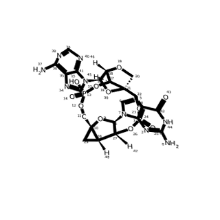 Nc1nc2c(ncn2[C@@H]2O[C@]34COP(=O)(O)O[C@H]5[C@H]6OC[C@]5(CO[PH](=O)O[C@@H]2[C@@H]3C4)O[C@H]6n2cnc3c(N)ncnc32)c(=O)[nH]1